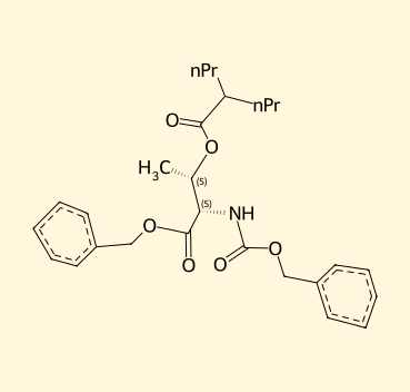 CCCC(CCC)C(=O)O[C@@H](C)[C@H](NC(=O)OCc1ccccc1)C(=O)OCc1ccccc1